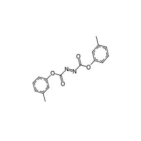 Cc1cccc(OC(=O)N=NC(=O)Oc2cccc(C)c2)c1